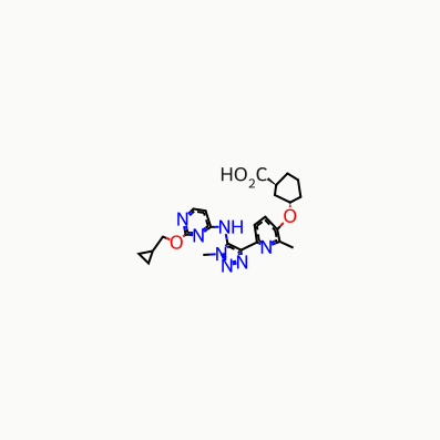 Cc1nc(-c2nnn(C)c2Nc2ccnc(OCC3CC3)n2)ccc1O[C@H]1CCC[C@H](C(=O)O)C1